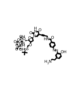 CC(C)(C)SSCOC1C[C@H](n2cc(C#CCNC(=O)c3ccc(/N=N/c4cc(CCN)ccc4O)cc3)c(=O)[nH]c2=O)O[C@@H]1COP(=O)(O)OP(=O)(O)OP(=O)(O)O